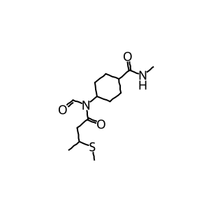 CNC(=O)C1CCC(N(C=O)C(=O)CC(C)SC)CC1